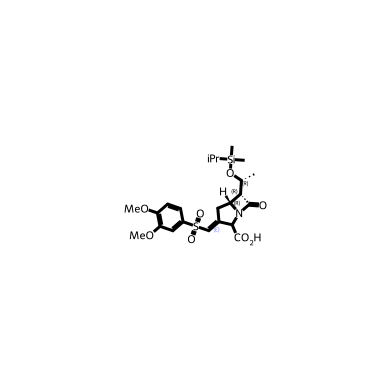 COc1ccc(S(=O)(=O)/C=C2\C[C@@H]3[C@H]([C@@H](C)O[Si](C)(C)C(C)C)C(=O)N3C2C(=O)O)cc1OC